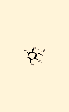 Cc1cc(O)c(C)c(C)c1C.[LiH]